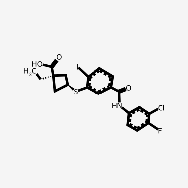 CC[C@]1(C(=O)O)C[C@@H](Sc2cc(C(=O)Nc3ccc(F)c(Cl)c3)ccc2I)C1